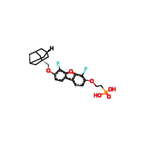 O=P(O)(O)CCOc1ccc2c(oc3c(F)c(OC[C@]45CC6CC(C[C@H](C6)C4)C5)ccc32)c1F